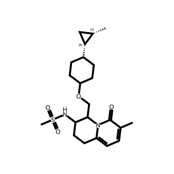 Cc1ccc2n(c1=O)C(COC1CCC([C@@H]3C[C@@H]3C)CC1)C(NS(C)(=O)=O)CC2